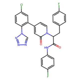 O=C(Nc1ccc(F)cc1)C(Cc1ccc(F)cc1)n1ccc(-c2cc(Cl)ccc2-n2cnnn2)cc1=O